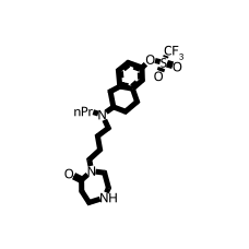 CCCN(CCCCN1CCNCCC1=O)C1CCc2cc(OS(=O)(=O)C(F)(F)F)ccc2C1